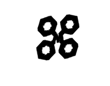 c1ccc([As](c2ccccc2)(c2ccccc2)c2ccccc2)cc1